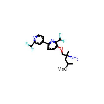 COC(C)CC(C)(N)COc1ccc(-c2ccnc(C(F)F)c2)nc1C(F)F